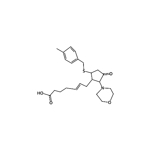 Cc1ccc(CSC2CC(=O)C(N3CCOCC3)C2CC=CCCCC(=O)O)cc1